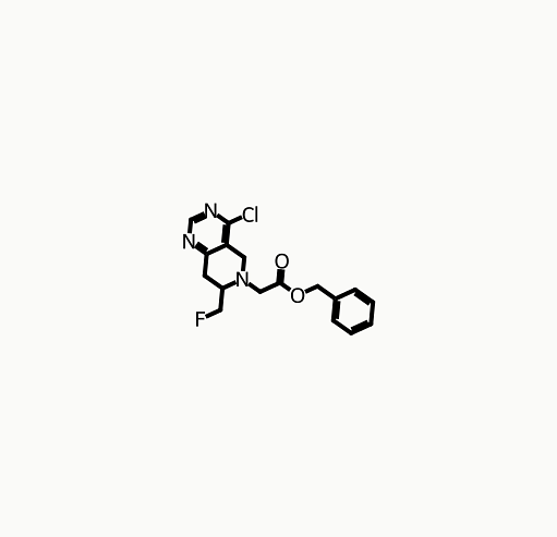 O=C(CN1Cc2c(Cl)ncnc2CC1CF)OCc1ccccc1